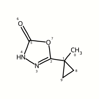 CC1(c2n[nH]c(=O)o2)CC1